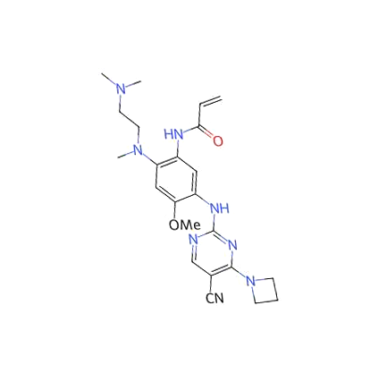 C=CC(=O)Nc1cc(Nc2ncc(C#N)c(N3CCC3)n2)c(OC)cc1N(C)CCN(C)C